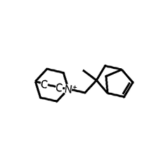 CC1(C[N+]23CCC(CC2)CC3)CC2C=CC1C2